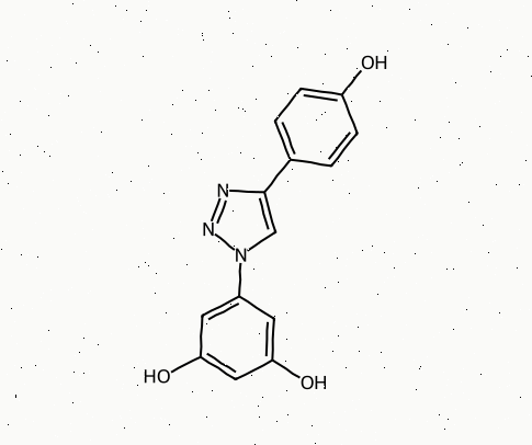 Oc1ccc(-c2cn(-c3cc(O)cc(O)c3)nn2)cc1